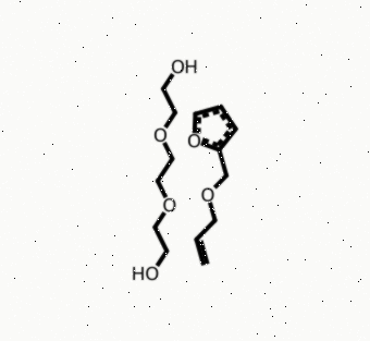 C=CCOCc1ccco1.OCCOCCOCCO